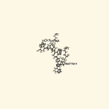 CCCCCCCCC(CCCCCC)CC1(CCC(C)CCCC(C)C)Oc2cc(-c3ccc(-c4cc5c(s4)-c4sc(-c6cccc7nsnc67)cc4OC5(CCC(C)CCCC(C)C)CC(CCCCCC)CCCCCCCC)c4nsnc34)sc2-c2sc(-c3ccc(C)c4nsnc34)cc21